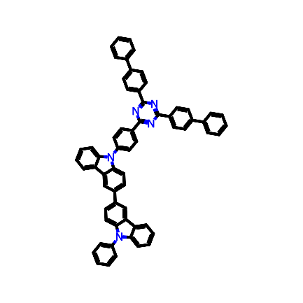 c1ccc(-c2ccc(-c3nc(-c4ccc(-c5ccccc5)cc4)nc(-c4ccc(-n5c6ccccc6c6cc(-c7ccc8c(c7)c7ccccc7n8-c7ccccc7)ccc65)cc4)n3)cc2)cc1